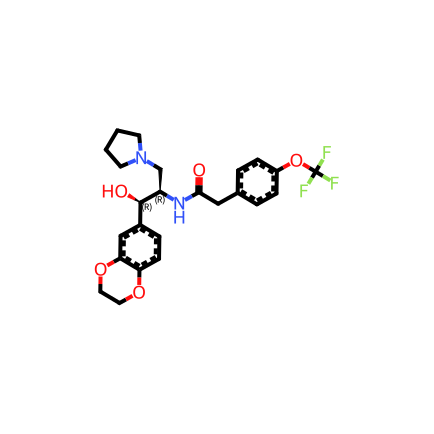 O=C(Cc1ccc(OC(F)(F)F)cc1)N[C@H](CN1CCCC1)[C@H](O)c1ccc2c(c1)OCCO2